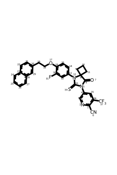 N#Cc1ncc(N2C(=O)C3(CCC3)N(c3ccc(OCCc4ccc5ccccc5c4)c(F)c3)C2=S)cc1C(F)(F)F